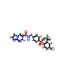 O=C(NCc1ccc(S(=O)(=O)c2ccc(Cl)cc2C(F)(F)F)cc1)c1cnc2nccn2c1